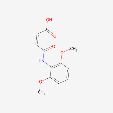 COc1cccc(OC)c1NC(=O)/C=C\C(=O)O